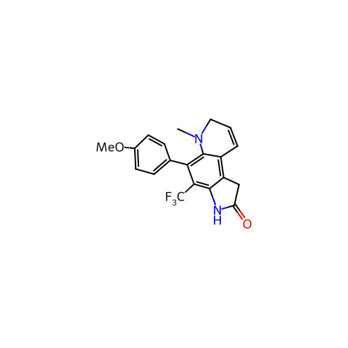 COc1ccc(-c2c3c(c4c(c2C(F)(F)F)NC(=O)C4)C=CCN3C)cc1